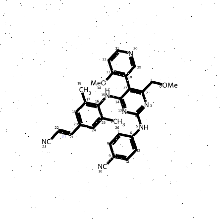 COCc1nc(Nc2ccc(C#N)cc2)nc(Nc2c(C)cc(/C=C/C#N)cc2C)c1-c1cnccc1OC